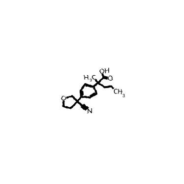 CCCC(C)(C(=O)O)c1ccc(C2(C#N)CCOC2)cc1